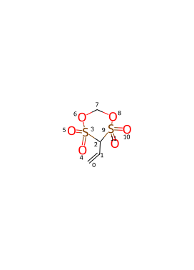 C=CC1S(=O)(=O)OCOS1(=O)=O